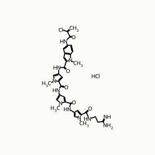 C=C(Cl)C(=O)Nc1ccc2c(c1)cc(C(=O)Nc1cc(C(=O)Nc3cc(C(=O)Nc4cc(C(=O)NCCC(=N)N)n(C)c4)n(C)c3)n(C)c1)n2C.Cl